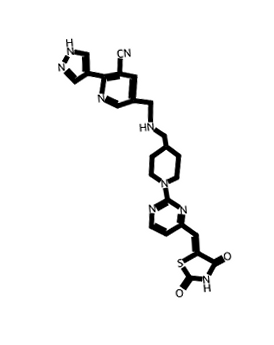 N#Cc1cc(CNCC2CCN(c3nccc(/C=C4\SC(=O)NC4=O)n3)CC2)cnc1-c1cn[nH]c1